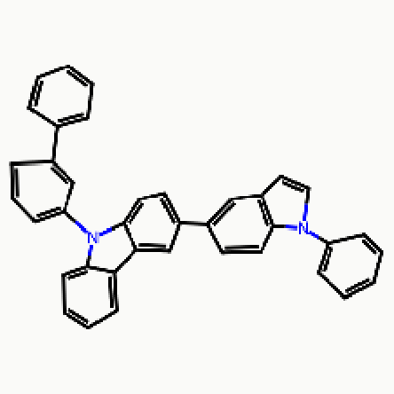 c1ccc(-c2cccc(-n3c4ccccc4c4cc(-c5ccc6c(ccn6-c6ccccc6)c5)ccc43)c2)cc1